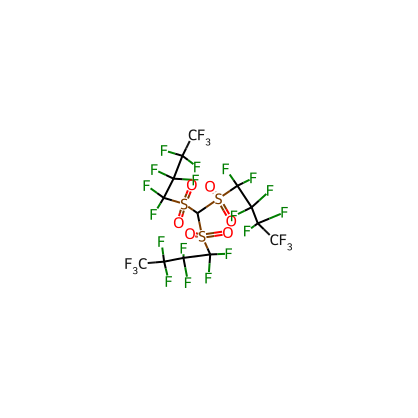 O=S(=O)(C(S(=O)(=O)C(F)(F)C(F)(F)C(F)(F)C(F)(F)F)S(=O)(=O)C(F)(F)C(F)(F)C(F)(F)C(F)(F)F)C(F)(F)C(F)(F)C(F)(F)C(F)(F)F